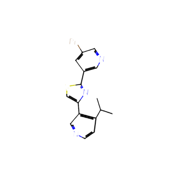 CC(C)c1ccncc1-c1csc(-c2cncc(Br)c2)n1